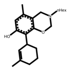 CCCCCCN1COc2c(c(C)cc(O)c2C2C=C(C)CCC2)C1